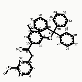 CSc1nccc(CC(=O)c2cc(C)cc(OC(c3ccccc3)(c3ccccc3)c3ccccc3)c2)n1